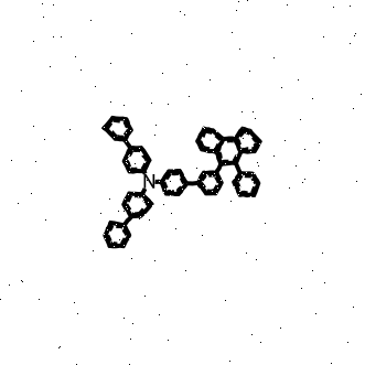 c1ccc(-c2ccc(N(c3ccc(-c4ccccc4)cc3)c3ccc(-c4cccc(-c5c(-c6ccccc6)c6ccccc6c6ccccc56)c4)cc3)cc2)cc1